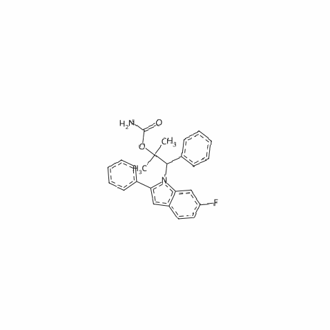 CC(C)(OC(N)=O)C(c1ccccc1)n1c(-c2ccccc2)cc2ccc(F)cc21